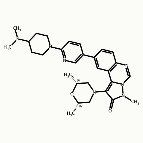 C[C@@H]1CN(c2c(=O)n(C)n3cnc4ccc(-c5ccc(N6CCC(N(C)C)CC6)nc5)cc4c23)C[C@H](C)O1